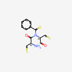 N[C@@H](C=S)C(=O)N(C(=S)c1ccccc1)[C@H]([C]=O)C=S